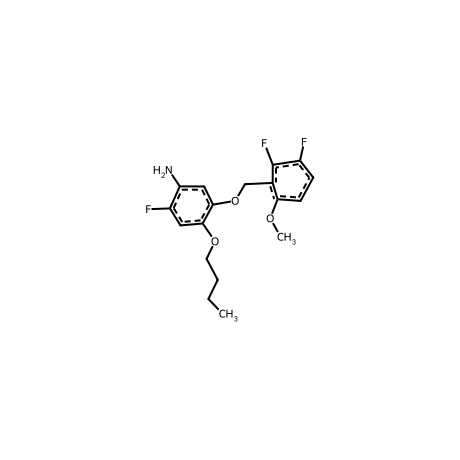 CCCCOc1cc(F)c(N)cc1OCc1c(OC)ccc(F)c1F